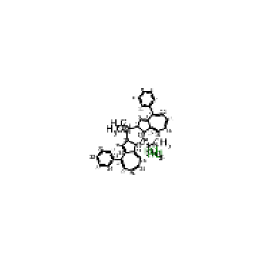 CCC1C=C2C(c3ccccc3)=CC=CC=C2[CH]1[Zr](=[C](C)C)[CH]1C2=CC=CC=C(c3ccccc3)C2=CC1CC.Cl.Cl